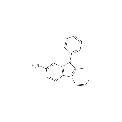 C/C=C\c1c(C)n(-c2ccccc2)c2cc(N)ccc12